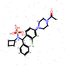 CC(=O)N1CCN(c2ccc(C(c3ccccc3)N(C3CCC3)S(=O)(=O)O)c(F)c2)CC1